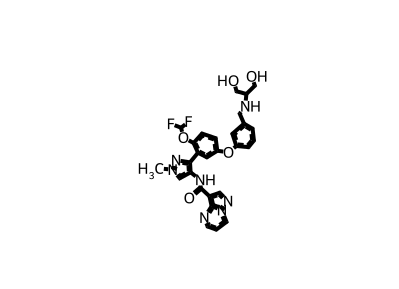 Cn1cc(NC(=O)c2cnn3cccnc23)c(-c2cc(Oc3cccc(CNC(CO)CO)c3)ccc2OC(F)F)n1